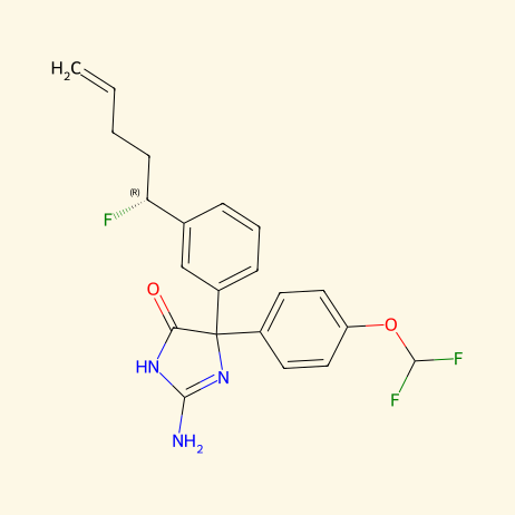 C=CCC[C@@H](F)c1cccc(C2(c3ccc(OC(F)F)cc3)N=C(N)NC2=O)c1